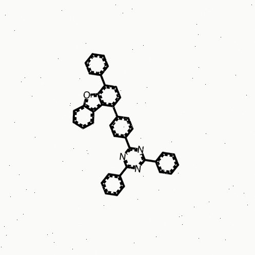 c1ccc(-c2nc(-c3ccccc3)nc(-c3ccc(-c4ccc(-c5ccccc5)c5oc6ccccc6c45)cc3)n2)cc1